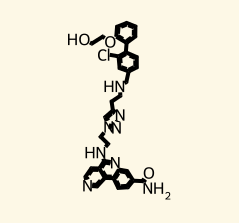 NC(=O)c1ccc2c(c1)nc(NCCn1cc(CCNCc3ccc(-c4ccccc4OCCO)c(Cl)c3)nn1)c1ccncc12